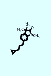 CN1C(=O)C(C)(C)c2ccc(CCCC3CC3)cc21